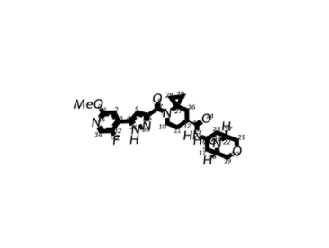 COc1cc(-c2cc(C(=O)N3CC[C@H](C(=O)NC4C[C@H]5COC[C@@H](C4)N5C)CC34CC4)n[nH]2)c(F)cn1